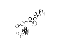 CCNC(=O)COC1CCCCN1C(=O)/C=C/c1ccc(Cl)cc1Cn1nnc(C)n1